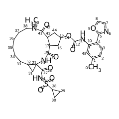 Cc1ccc(-c2ncco2)c(NC(=O)OC2CC3C(=O)NC4(C(=O)NS(=O)(=O)C5CC5)CC4CCCCCCN(C)C(=O)C3C2)c1